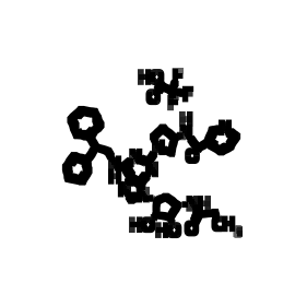 CCC(=O)N[C@H]1C[C@@H](n2cnc3c(NCC(c4ccccc4)c4ccccc4)nc(N4CC[C@@H](NC(=O)c5cccnc5)C4)nc32)[C@H](O)[C@@H]1O.O=C(O)C(F)(F)F